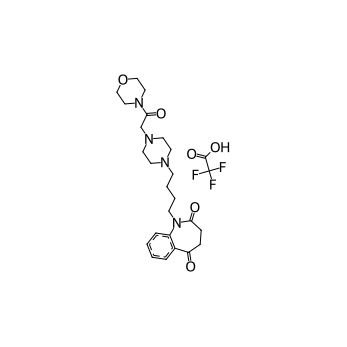 O=C(O)C(F)(F)F.O=C1CCC(=O)N(CCCCN2CCN(CC(=O)N3CCOCC3)CC2)c2ccccc21